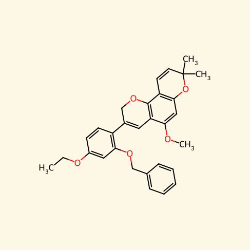 CCOc1ccc(C2=Cc3c(OC)cc4c(c3OC2)C=CC(C)(C)O4)c(OCc2ccccc2)c1